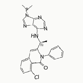 C[C@H](Nc1ncnc2c1ncn2P(C)C)c1cc2cccc(Cl)c2c(=O)n1-c1ccccc1